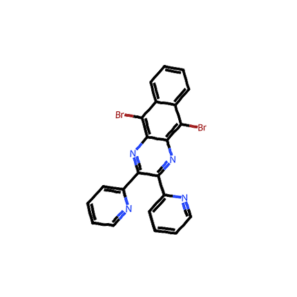 Brc1c2ccccc2c(Br)c2nc(-c3ccccn3)c(-c3ccccn3)nc12